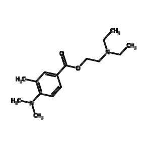 CCN(CC)CCOC(=O)c1ccc(N(C)C)c(C)c1